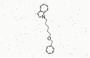 [c]1cn(CCCCCOCc2ccccc2)c2ccccc12